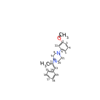 COc1cccc(N2CCN(C(C)=Cc3ccccc3)CC2)c1